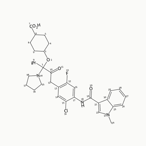 CC(C)C(OC1CCC(C(=O)O)CC1)(C(=O)Cc1cc(Cl)c(NC(=O)c2cn(C)c3ccccc23)cc1F)N1CCCC1